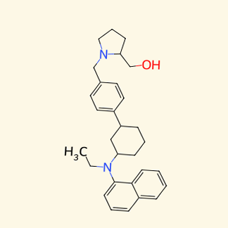 CCN(c1cccc2ccccc12)C1CCCC(c2ccc(CN3CCCC3CO)cc2)C1